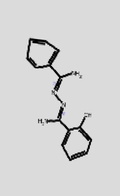 N/C(=N\N=C(/N)c1ccccc1O)c1ccccc1